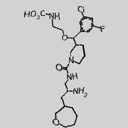 NC(CNC(=O)N1CCCC(C(OCCNC(=O)O)c2cc(F)cc(Cl)c2)C1)CC1CCCCOC1